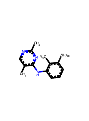 CC(=O)Nc1cccc(Nc2nc(C)ncc2C)c1C